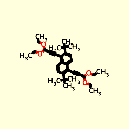 CCOC(C#Cc1c(C(C)(C)C)ccc2c(C#CC(OCC)OCC)c(C(C)(C)C)ccc12)OCC